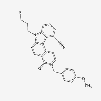 COc1ccc(Cn2ccc3c(ccc4c3c3c(C#N)cccc3n4CCCF)c2=O)cc1